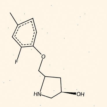 Cc1ccc(OCC2C[C@@H](O)CN2)c(F)c1